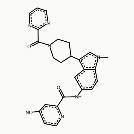 Cn1cc(C2CCN(C(=O)c3ncccn3)CC2)c2cc(NC(=O)c3cc(C#N)ccn3)ccc21